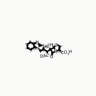 CC(=O)OC(c1cn2c(nc3ccccc32)s1)C1(Br)C(=O)N2C(C(=O)O)=CS[C@@H]21